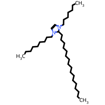 CCCCCCCCCCCCCCCCCC1N(CCCCCCC)C=CN1CCCCCCCCC